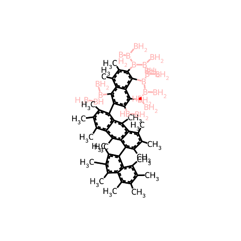 BBB(B)B(B(B)B)c1c(B(B(B)B)B(B)B)c(C)c(C)c2c(B(B)BB)c(-c3c(C)c(C)c(C)c4c(C)c5c(-c6c(C)c(C)c(C)c7c(C)c(C)c(C)c(C)c67)c(C)c(C)c(C)c5c(C)c34)c(BB)c(B)c12